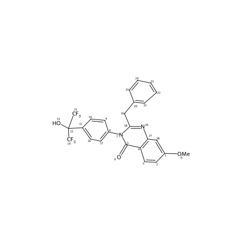 COc1ccc2c(=O)n(-c3ccc(C(O)(C(F)(F)F)C(F)(F)F)cc3)c(Cc3ccccc3)nc2c1